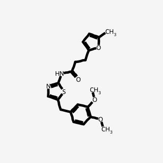 COc1ccc(Cc2cnc(NC(=O)CCc3ccc(C)o3)s2)cc1OC